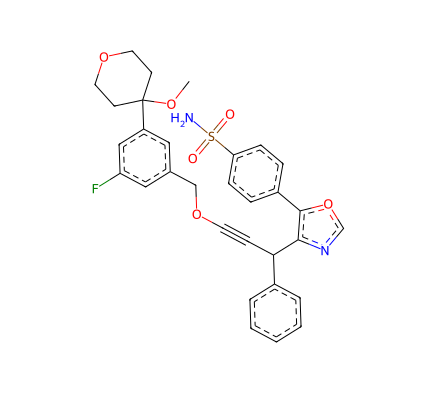 COC1(c2cc(F)cc(COC#CC(c3ccccc3)c3ncoc3-c3ccc(S(N)(=O)=O)cc3)c2)CCOCC1